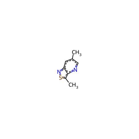 Cc1cnc2c(C)snc2c1